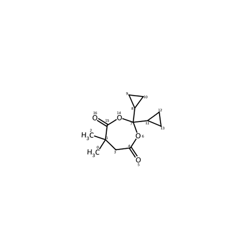 CC1(C)CC(=O)OC(C2CC2)(C2CC2)OC1=O